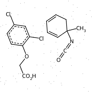 CC1(N=C=O)C=CC=CC1.O=C(O)COc1ccc(Cl)cc1Cl